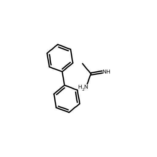 CC(=N)N.c1ccc(-c2ccccc2)cc1